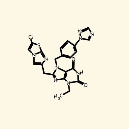 CCn1c(=O)[nH]c(=O)c2c1nc(Cc1cn3cc(Cl)sc3n1)n2Cc1ccc(-n2cncn2)cc1